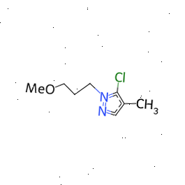 COCCCn1ncc(C)c1Cl